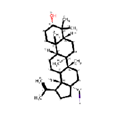 C=C(C)[C@@H]1CC[C@]2(CI)CC[C@]3(C)C(CC[C@@H]4C5(C)CC[C@H](O)C(C)(C)[C@@H]5CC[C@]43C)[C@@H]12